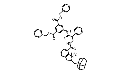 O=C(OCc1ccccc1)c1cc(NC(=O)C(CNC(=O)c2cccc3c2[NH+]([O-])C(CC24CC5CC(CC(C5)C2)C4)=C3)c2ccccc2)cc(C(=O)OCc2ccccc2)c1